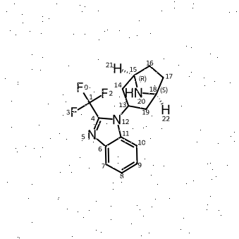 FC(F)(F)c1nc2ccccc2n1C1C[C@H]2CC[C@@H](C1)N2